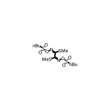 CCCCS(=O)(=O)O/N=C(SC)\C(=N/OS(=O)(=O)CCCC)SC